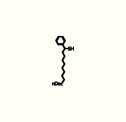 CCCCCCCCCCCCCCCCCCC(S)c1ccccc1